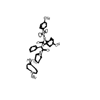 COc1ccc(S(=O)(=O)n2c(=O)n(C(C(=O)N3CC[C@H](NC4CCN(C(C)(C)C)CC4)C3)c3ccccc3)c3cc(C#N)ccc32)cc1